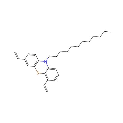 C=Cc1ccc2c(c1)Sc1c(C=C)cccc1N2CCCCCCCCCCCC